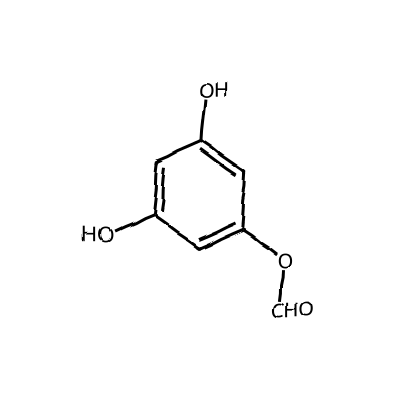 O=COc1cc(O)cc(O)c1